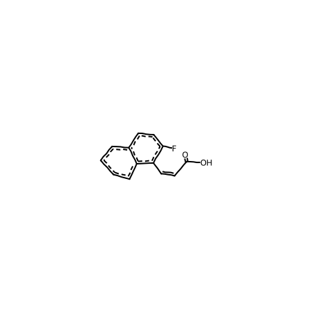 O=C(O)/C=C\c1c(F)ccc2ccccc12